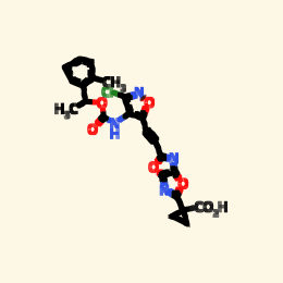 Cc1ccccc1C(C)OC(=O)Nc1c(Cl)noc1C#Cc1nc2oc(C3(C(=O)O)CC3)nc2o1